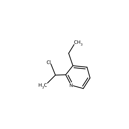 CCc1cccnc1C(C)Cl